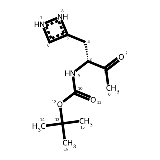 CC(=O)[C@@H](Cc1c[nH][nH]1)NC(=O)OC(C)(C)C